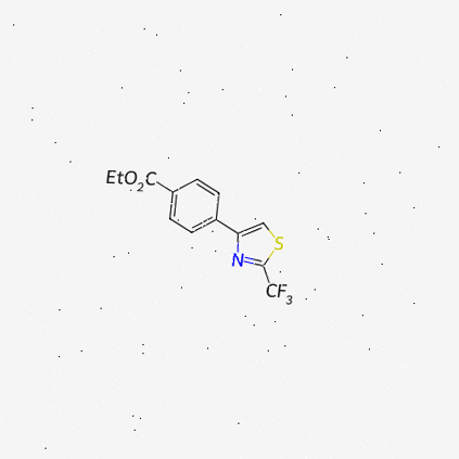 CCOC(=O)c1ccc(-c2csc(C(F)(F)F)n2)cc1